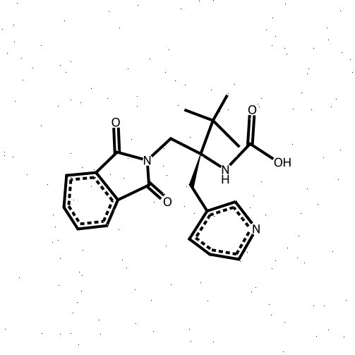 CC(C)(C)[C@@](Cc1cccnc1)(CN1C(=O)c2ccccc2C1=O)NC(=O)O